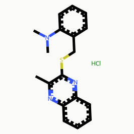 Cc1nc2ccccc2nc1SCc1ccccc1N(C)C.Cl